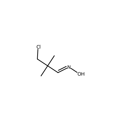 CC(C)(C=NO)CCl